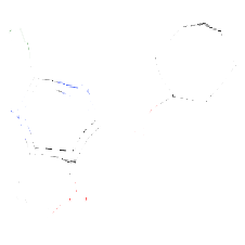 Clc1nc(OC2CCCCC2)c2occc2n1